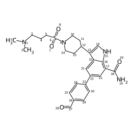 CN(C)CCCS(=O)(=O)N1CCC(c2c[nH]c3c(C(N)=O)cc(-c4ccc(C=O)cc4)cc23)CC1